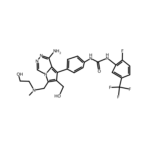 CN(CCO)Cc1c(CO)c(-c2ccc(NC(=O)Nc3cc(C(F)(F)F)ccc3F)cc2)c2c(N)nncn12